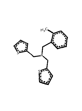 Cc1ccccc1CN(Cc1cccs1)Cc1cccs1